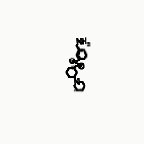 NCc1cccc(S(=O)(=O)[C@@H]2CCCC(N3C[CH]CCC3)C2)c1